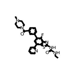 CCNC(=O)Nc1nc2c(F)c(-c3cccc(C(=O)N4CCN(C)CC4)c3)cc(-c3ccccn3)c2s1